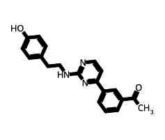 CC(=O)c1cccc(-c2ccnc(NCCc3ccc(O)cc3)n2)c1